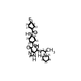 CC(CNC(=O)c1[nH]cnc1C(=O)Nc1ccc(NC(=O)c2ccc(F)cc2)cc1)N1CCCCC1